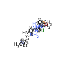 CCC(CCCCCC(CC)N(C)C)c1ccc(Nc2ncc(Cl)c(Nc3ccccc3P(C)(C)=O)n2)cc1N